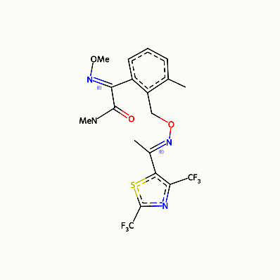 CNC(=O)/C(=N/OC)c1cccc(C)c1CO/N=C(\C)c1sc(C(F)(F)F)nc1C(F)(F)F